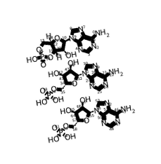 Nc1ncnc2c1ncn2[C@@H]1O[C@@H]2COP(=O)(O)O[C@H]2[C@H]1O.Nc1ncnc2c1ncn2[C@@H]1O[C@H](COP(=O)(O)O)[C@@H](O)[C@H]1O.Nc1ncnc2c1ncn2[C@@H]1O[C@H](COP(=O)(O)O)[C@@H](O)[C@H]1O